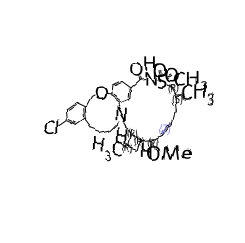 CO[C@H]1/C=C\C[C@H](C)[C@@H](C)S(=O)(=O)NC(=O)c2ccc3c(c2)N(CCCCc2cc(Cl)ccc2CO3)C[C@H]2[C@H]1C[C@H]2C